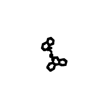 c1ccc2c(c1)c[n+](OC[n+]1cccc3ccccc31)c1ccccc21